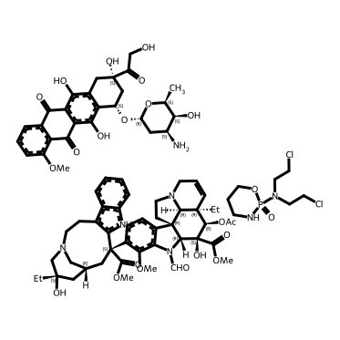 CC[C@]1(O)C[C@@H]2CN(CCc3c([nH]c4ccccc34)[C@@](C(=O)OC)(c3ccc4c(c3OC)N(C=O)[C@H]3[C@@](O)(C(=O)OC)[C@H](OC(C)=O)[C@]5(CC)C=CCN6CC[C@]43[C@@H]65)C2)C1.COc1cccc2c1C(=O)c1c(O)c3c(c(O)c1C2=O)C[C@@](O)(C(=O)CO)C[C@@H]3O[C@H]1C[C@H](N)[C@H](O)[C@H](C)O1.O=P1(N(CCCl)CCCl)NCCCO1